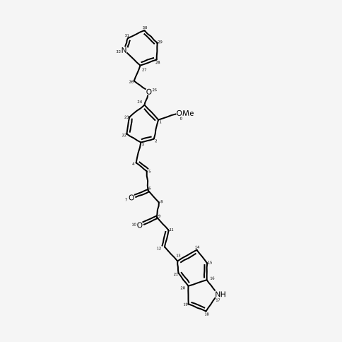 COc1cc(C=CC(=O)CC(=O)C=Cc2ccc3[nH]ccc3c2)ccc1OCc1ccccn1